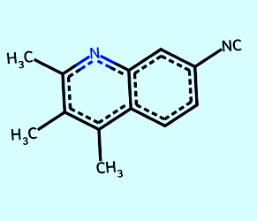 [C-]#[N+]c1ccc2c(C)c(C)c(C)nc2c1